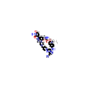 CNC(=O)COc1cc2cc(Nc3cc(N4CCC(CN5CCN(c6cccc7c(C8CCC(=O)NC8=O)nn(C)c67)CC5)CC4)nc4c(C#N)cnn34)ccc2n(C)c1=O